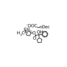 CCCCCCCCCCCC(=O)[O-].C[N+]1(C)CCC(OC(=O)C(O)(c2ccccc2)C2CCCC2)C1